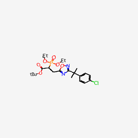 CCOP(=O)(OCC)C(Cc1nc(C(C)(C)c2ccc(Cl)cc2)no1)C(=O)OC(C)(C)C